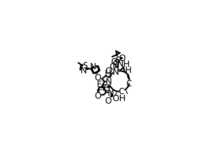 Cc1cnc(-c2cc(O[C@@H]3C[C@H]4C(=O)N[C@]5(C(=O)NS(=O)(=O)C6(C)CC6)C[C@H]5/C=C\CC[C@@H](C)C[C@@H](C)[C@H](N(C(=O)O)C5CCCOC5)C(=O)N4C3C(F)(F)F)ccn2)s1